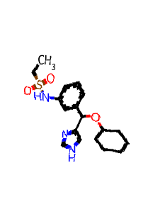 CCS(=O)(=O)Nc1cccc(C(OC2CCCCC2)c2c[nH]cn2)c1